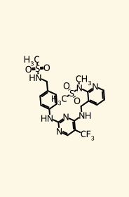 CN(c1ncccc1CNc1nc(Nc2ccc(CNS(C)(=O)=O)cc2)ncc1C(F)(F)F)S(C)(=O)=O